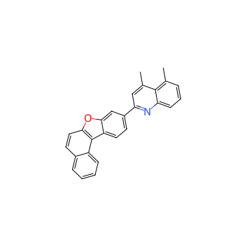 Cc1cccc2nc(-c3ccc4c(c3)oc3ccc5ccccc5c34)cc(C)c12